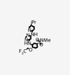 CNS(=O)(=O)c1ccc(OCC(F)(F)F)c(Nc2cc(Nc3ccc(C(C)C)cn3)ncn2)c1